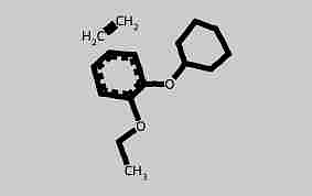 C=C.CCOc1ccccc1OC1CCCCC1